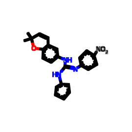 CC1(C)C=Cc2cc(NC(=Nc3ccc([N+](=O)[O-])cc3)Nc3ccccc3)ccc2O1